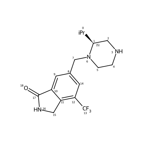 CC(C)[C@H]1CNCCN1Cc1cc2c(c(C(F)(F)F)c1)CNC2=O